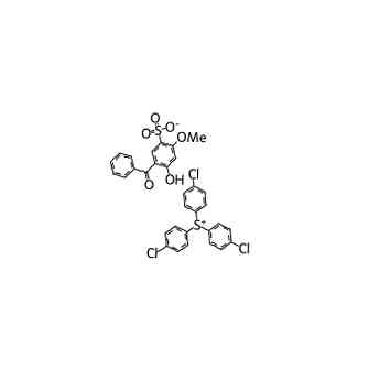 COc1cc(O)c(C(=O)c2ccccc2)cc1S(=O)(=O)[O-].Clc1ccc([S+](c2ccc(Cl)cc2)c2ccc(Cl)cc2)cc1